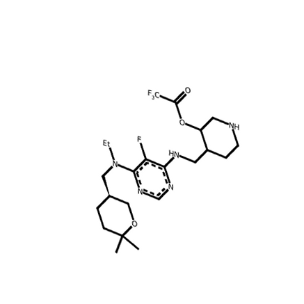 CCN(C[C@@H]1CCC(C)(C)OC1)c1ncnc(NCC2CCNCC2OC(=O)C(F)(F)F)c1F